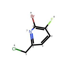 Fc1ccc(CCl)nc1Br